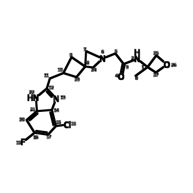 CC1(NC(=O)CN2CC3(CC(Cc4nc5c(Cl)cc(F)cc5[nH]4)C3)C2)COC1